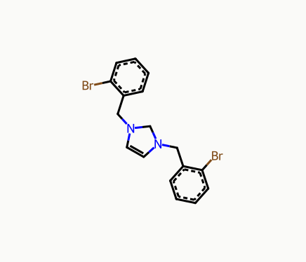 Brc1ccccc1CN1C=CN(Cc2ccccc2Br)C1